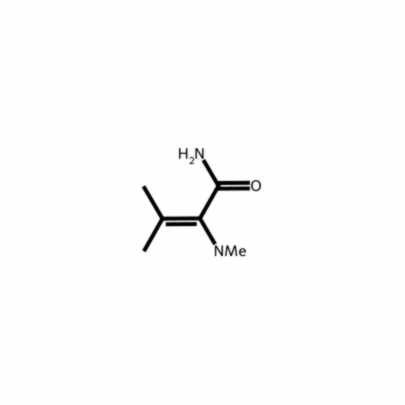 CNC(C(N)=O)=C(C)C